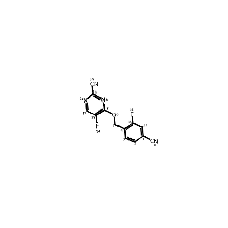 N#Cc1ccc(COc2nc(C#N)ncc2F)c(F)c1